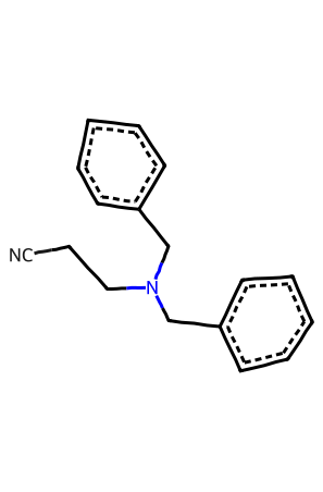 N#CCCN(Cc1ccccc1)Cc1ccccc1